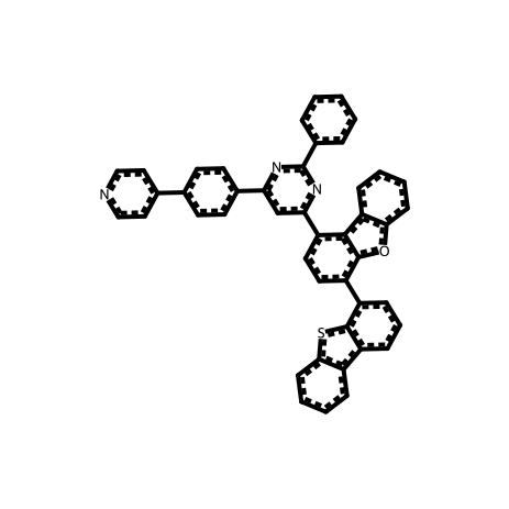 c1ccc(-c2nc(-c3ccc(-c4ccncc4)cc3)cc(-c3ccc(-c4cccc5c4sc4ccccc45)c4oc5ccccc5c34)n2)cc1